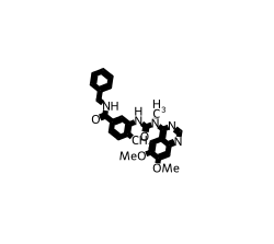 COc1cc2ncnc(N(C)C(=O)Nc3cc(C(=O)NCc4ccccc4)ccc3C)c2cc1OC